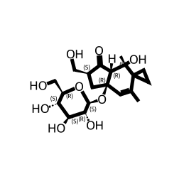 CC1=C[C@]2(O[C@@H]3O[C@H](CO)[C@@H](O)[C@H](O)[C@H]3O)C[C@@H](CO)C(=O)[C@@H]2[C@](C)(O)C12CC2